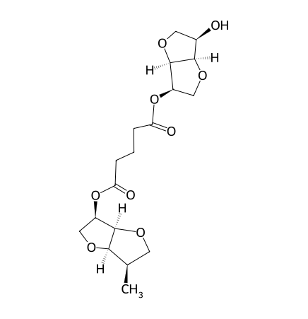 C[C@@H]1CO[C@H]2[C@@H]1OC[C@H]2OC(=O)CCCC(=O)O[C@@H]1CO[C@H]2[C@@H]1OC[C@H]2O